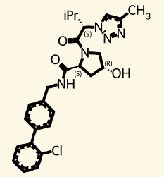 Cc1cn([C@H](C(=O)N2C[C@H](O)C[C@H]2C(=O)NCc2ccc(-c3ccccc3Cl)cc2)C(C)C)nn1